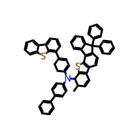 CC1C=Cc2c(sc3c4c(ccc23)C(c2ccccc2)(c2ccccc2)c2ccccc2-4)C1N(C1=CC=C(c2cccc3c2sc2ccccc23)CC1)c1ccc(-c2ccccc2)cc1